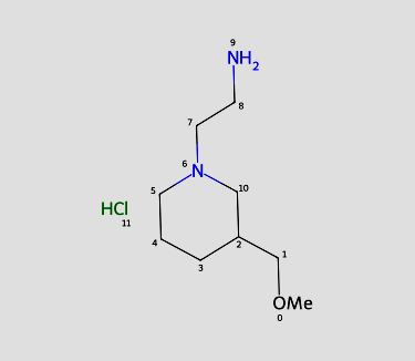 COCC1CCCN(CCN)C1.Cl